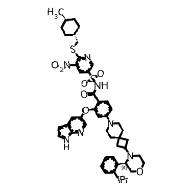 CC(C)c1ccccc1[C@@H]1COCCN1C1CC2(CCN(c3ccc(C(=O)NS(=O)(=O)c4cnc(SC[C@H]5CC[C@@H](C)CC5)c([N+](=O)[O-])c4)c(Oc4cnc5[nH]ccc5c4)c3)CC2)C1